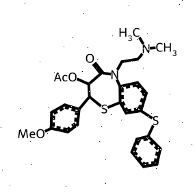 COc1ccc(C2Sc3cc(Sc4ccccc4)ccc3N(CCN(C)C)C(=O)C2OC(C)=O)cc1